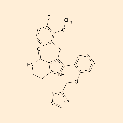 COc1c(Cl)cccc1Nc1c(-c2ccncc2OCc2nncs2)[nH]c2c1C(=O)NCC2